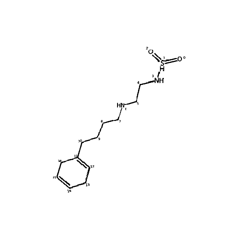 O=[SH](=O)NCCNCCCCC1=CCC=CC1